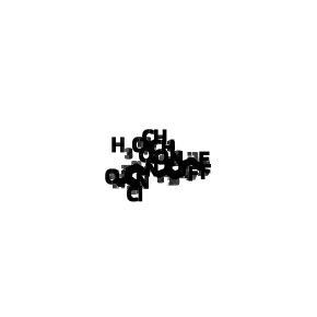 CC(C)(C)OC(=O)N(Cc1ccc(CC(F)(F)F)nc1)c1ccc(C=O)c(Cl)n1